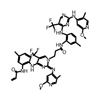 C=CC(=O)Nc1cc(C)ccc1Nc1n/c(=N\c2cc(OC)ncc2C)n(CCC(=O)Nc2cc(C)ccc2Nc2nc(Nc3cc(OC)ncc3C)ncc2C(F)(F)F)cc1C(F)(F)F